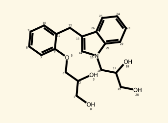 OCC(O)COc1ccccc1Cc1cn(CC(O)CO)c2ccccc12